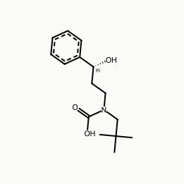 CC(C)(C)CN(CC[C@@H](O)c1ccccc1)C(=O)O